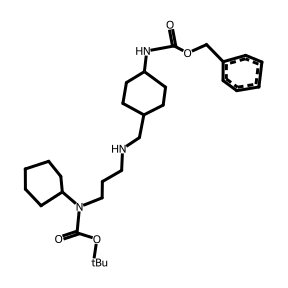 CC(C)(C)OC(=O)N(CCCNCC1CCC(NC(=O)OCc2ccccc2)CC1)C1CCCCC1